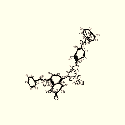 CC(C)(C)[Si](C)(C)O[C@@H](CNCCc1ccc(OCC23CC4CC(CC(C4)C2)C3)cc1)c1ccc(OCc2ccccc2)c2[nH]c(=O)ccc12